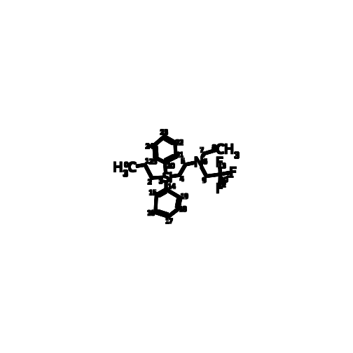 CCC[Si](CCN(CC)CC(F)(F)F)(c1ccccc1)c1ccccc1